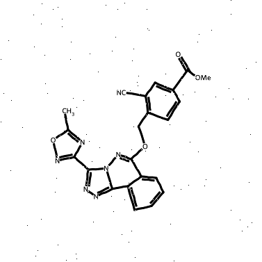 COC(=O)c1ccc(COc2nn3c(-c4noc(C)n4)nnc3c3ccccc23)c(C#N)c1